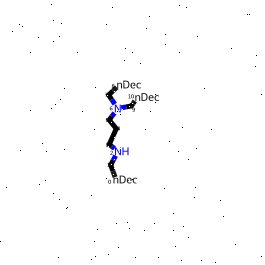 CCCCCCCCCCCNCCCN(CCCCCCCCCCC)CCCCCCCCCCC